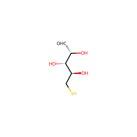 O=C[C@H](O)[C@@H](O)[C@@H](O)CS